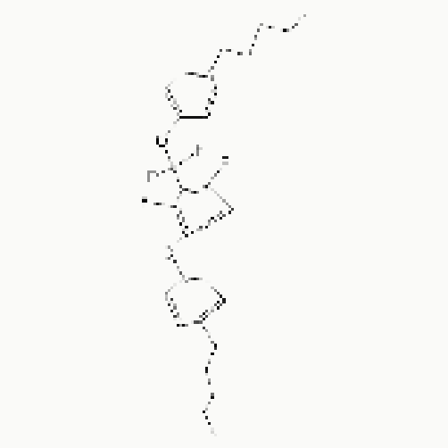 CCCCCc1ccc(Oc2[c]cc(F)c(C(F)(F)Oc3ccc(CCCCC)cc3)c2F)cc1